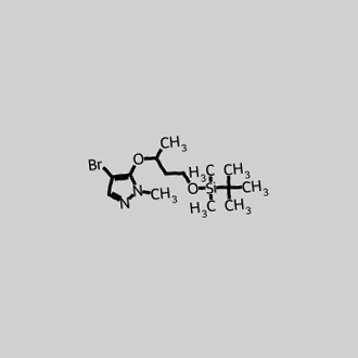 CC(CCO[Si](C)(C)C(C)(C)C)Oc1c(Br)cnn1C